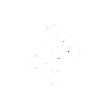 O=C(O)C1(C(P)(c2ccccc2)c2ccccc2)CC(P(c2ccccc2)c2ccccc2)CN1